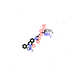 C[C@@H](O)[C@H](N)C(=O)OC[C@@H]1CN(c2ccc3cc(-c4ccccc4C(F)(F)F)[nH]c(=O)c3c2)C(=O)O1